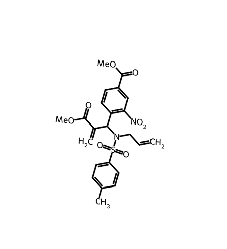 C=CCN(C(C(=C)C(=O)OC)c1ccc(C(=O)OC)cc1[N+](=O)[O-])S(=O)(=O)c1ccc(C)cc1